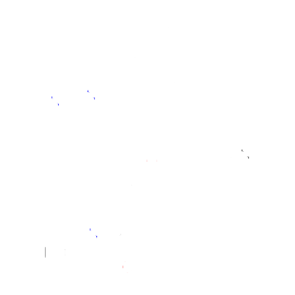 Cn1cc(-c2cnn(Cc3ccccc3)c2)c(OCCC#N)cc1=O